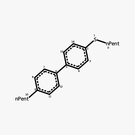 CCCCCSc1ccc(-c2ccc(CCCCC)cc2)cc1